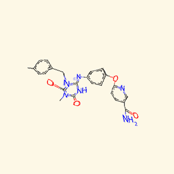 Cc1ccc(Cn2c(=O)n(C)c(=O)[nH]/c2=N\c2ccc(Oc3ccc(C(N)=O)cn3)cc2)cc1